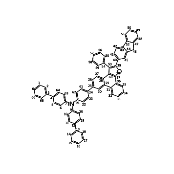 c1ccc(-c2ccc(N(c3ccc(-c4ccccc4)cc3)c3ccc(-c4ccc5c(c4)c4ccccc4c4oc(-c6ccc7c(c6)Cc6ccccc6-7)c(-c6ccccc6)c54)cc3)cc2)cc1